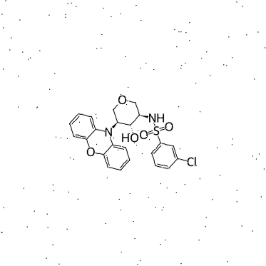 O=S(=O)(N[C@@H]1COC[C@H](N2c3ccccc3Oc3ccccc32)[C@H]1O)c1cccc(Cl)c1